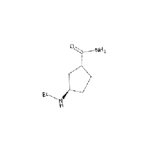 CCN[C@@H]1CC[C@@H](C(N)=O)C1